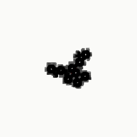 CC1(C)c2ccccc2-c2ccc(-c3ccc(N(c4ccc5c(c4)sc4ccccc45)c4ccccc4-c4ccccc4-c4ccccc4-c4ccccc4)cc3)cc21